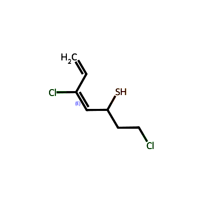 C=C/C(Cl)=C\C(S)CCCl